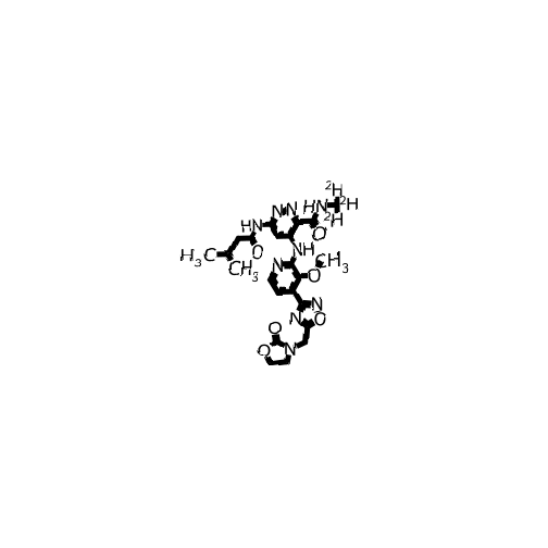 [2H]C([2H])([2H])NC(=O)c1nnc(NC(=O)CC(C)C)cc1Nc1nccc(-c2noc(CN3CCOC3=O)n2)c1OC